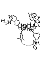 Cc1cc2cc(C)c1CCCC(=O)Nc1cccc(c1)[C@@H](CC(=O)O)NC(=O)[C@@H]2Nc1ccc2c(N)nccc2c1.O=C(O)C(F)(F)F